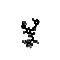 C[C@H](CNC(=O)c1cc(F)c(-c2cnn(C)c2)nc1NCCc1cccc(F)c1)NC(=O)[C@H](C)N